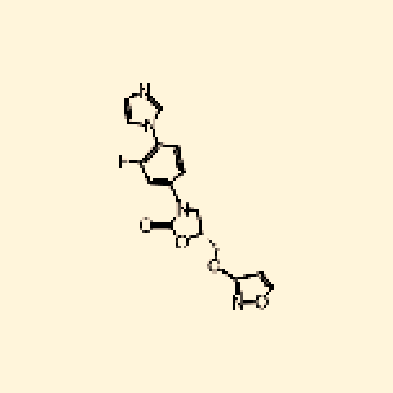 O=C1O[C@@H](COc2ccon2)CN1c1ccc(-n2ccnc2)c(F)c1